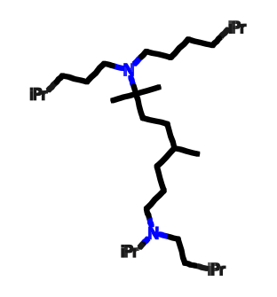 CC(C)CCCCN(CCCC(C)C)C(C)(C)CCC(C)CCCN(CCC(C)C)C(C)C